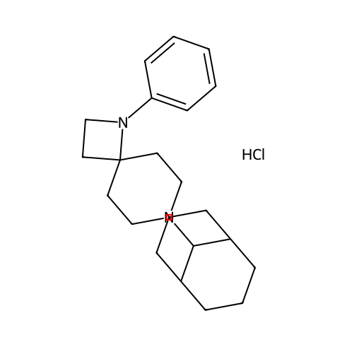 Cl.c1ccc(N2CCC23CCN(C2C4CCCC2CCC4)CC3)cc1